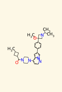 COC1(c2ccc(-c3cc4c(N5CCN(C(=O)C6CC(C)C6)CC5)ccnn4c3)cc2)CN(C(C)C)C1